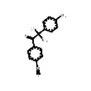 [C-]#[N+]c1ccc(C(=O)C(C)(C)c2ccc(C)cc2)cc1